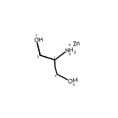 NC(CO)CO.[Zn]